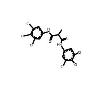 CC(C(=O)Nc1cc(Cl)c(Cl)c(Cl)c1)C(=O)Nc1cc(Cl)c(Cl)c(Cl)c1